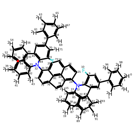 [2H]c1c([2H])c([2H])c(-c2cc(F)c(N(c3c([2H])c([2H])c([2H])c([2H])c3[2H])c3ccc4ccc5c(N(c6c([2H])c([2H])c([2H])c([2H])c6[2H])c6c(-c7c([2H])c([2H])c([2H])c([2H])c7[2H])cc(-c7c([2H])c([2H])c([2H])c([2H])c7[2H])c([2H])c6F)ccc6ccc3c4c65)c(-c3c([2H])c([2H])c([2H])c([2H])c3[2H])c2)c([2H])c1[2H]